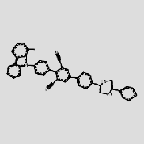 Cc1cccc2c3ccccc3n(-c3ccc(-c4c(C#N)cc(-c5ccc(C6CNC(c7ccccc7)CN6)cc5)cc4C#N)cc3)c12